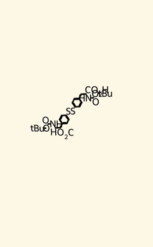 CC(C)(C)OC(=O)NC(Cc1ccc(SSc2ccc(CC(NC(=O)OC(C)(C)C)C(=O)O)cc2)cc1)C(=O)O